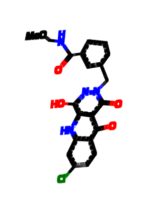 COCNC(=O)c1cccc(Cn2nc(O)c3[nH]c4cc(Cl)ccc4c(=O)c3c2=O)c1